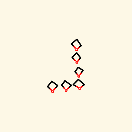 C1COC1.C1COC1.C1COC1.C1COC1.C1COC1.C1COC1